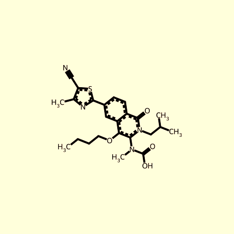 CCCCOc1c(N(C)C(=O)O)n(CC(C)C)c(=O)c2ccc(-c3nc(C)c(C#N)s3)cc12